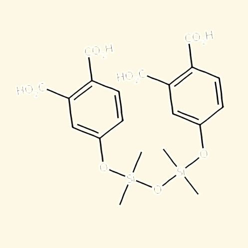 C[Si](C)(Oc1ccc(C(=O)O)c(C(=O)O)c1)O[Si](C)(C)Oc1ccc(C(=O)O)c(C(=O)O)c1